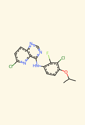 CC(C)Oc1ccc(Nc2ncnc3ccc(Cl)nc23)c(F)c1Cl